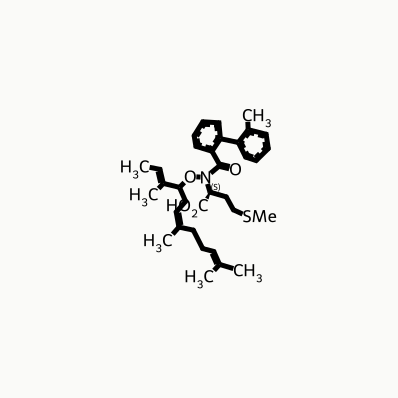 CC=C(C)C(CC=C(C)CCC=C(C)C)ON(C(=O)c1ccccc1-c1ccccc1C)[C@@H](CCSC)C(=O)O